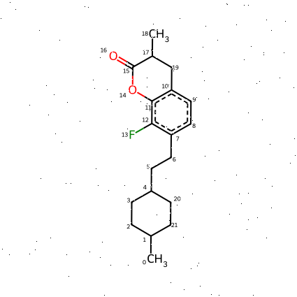 CC1CCC(CCc2ccc3c(c2F)OC(=O)C(C)C3)CC1